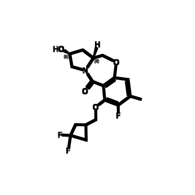 Cc1cc2c(c(OCC3CC(F)(F)C3)c1F)C(=O)N1C[C@@H](O)C[C@@H]1CO2